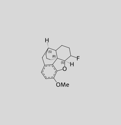 COc1ccc2c3c1O[C@@H]1C(F)CCC4[C@@H](CCC[C@]341)C2